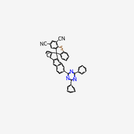 N#Cc1cc(C#N)c2c(c1)C1(c3ccccc3S2)c2ccccc2-c2cc3ccc(-c4nc(-c5ccccc5)nc(-c5ccccc5)n4)cc3cc21